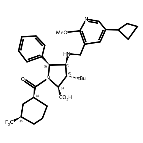 COc1ncc(C2CCC2)cc1CN[C@H]1[C@H](C(C)(C)C)[C@@H](C(=O)O)N(C(=O)[C@H]2CCC[C@@H](C(F)(F)F)C2)[C@H]1c1ccccc1